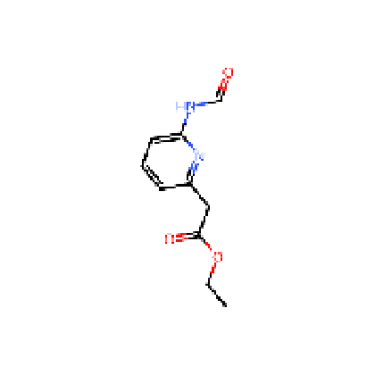 CCOC(=O)Cc1cccc(NC=O)n1